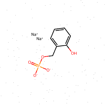 O=P([O-])([O-])OCc1ccccc1O.[Na+].[Na+]